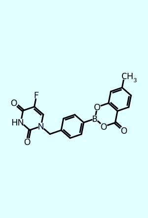 Cc1ccc2c(c1)OB(c1ccc(Cn3cc(F)c(=O)[nH]c3=O)cc1)OC2=O